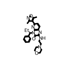 CC[C@H](c1ccccc1)n1c(=O)c(NCCN2CCOCC2)nc2ccc(-c3c(C)noc3C)nc21